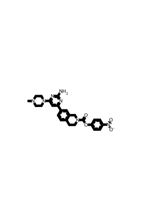 CN1CCN(c2cc(-c3ccc4c(c3)CN(C(=O)Oc3ccc([N+](=O)[O-])cc3)CC4)nc(N)n2)CC1